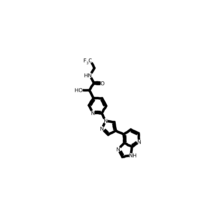 O=C(NCC(F)(F)F)C(O)c1ccc(-n2cc(-c3ccnc4[nH]cnc34)cn2)nc1